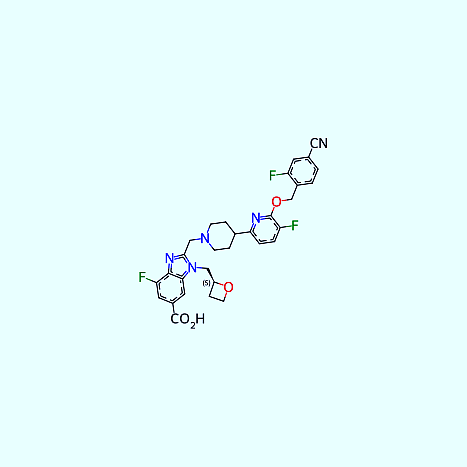 N#Cc1ccc(COc2nc(C3CCN(Cc4nc5c(F)cc(C(=O)O)cc5n4C[C@@H]4CCO4)CC3)ccc2F)c(F)c1